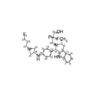 C[C@@H]1Cc2c([nH]c3ccccc23)[C@@H](c2ccc(NC3CN(CCCF)C3)cc2)N1CC(F)(F)CO